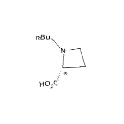 CCCCN1CC[C@@H]1C(=O)O